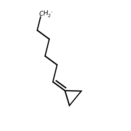 [CH2]CCCCC=C1CC1